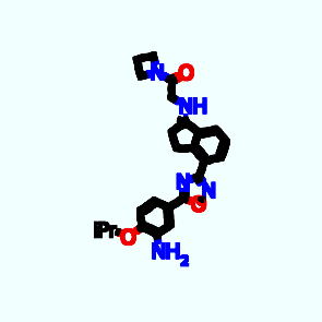 CC(C)Oc1ccc(-c2nc(-c3cccc4c3CC[C@@H]4NCC(=O)N3CCC3)no2)cc1N